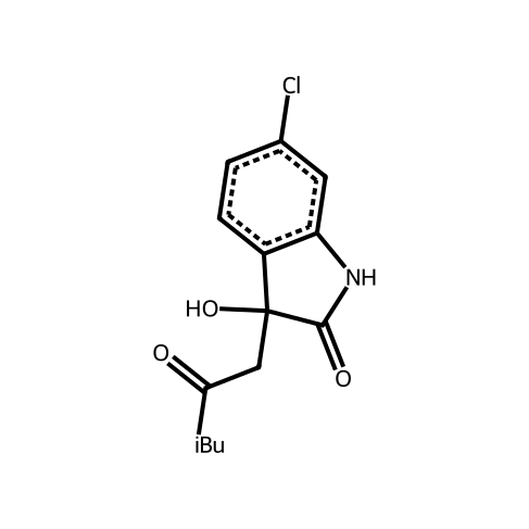 CCC(C)C(=O)CC1(O)C(=O)Nc2cc(Cl)ccc21